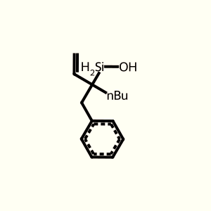 C=CC(CCCC)(Cc1ccccc1)[SiH2]O